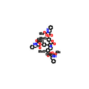 COc1cc(-c2c3n(c4c(=O)oc5cc(OC(=O)[C@H](Cc6ccccc6)NC(=O)OC(C)(C)C)c(OC)cc5c24)CCc2c-3cc(OC)c(OC)c2OC(=O)[C@H](Cc2ccccc2)NC(=O)OC(C)(C)C)ccc1OC(=O)[C@H](Cc1ccccc1)NC(=O)OC(C)(C)C